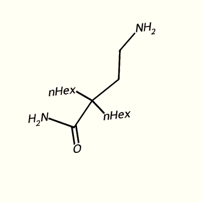 CCCCCCC(CCN)(CCCCCC)C(N)=O